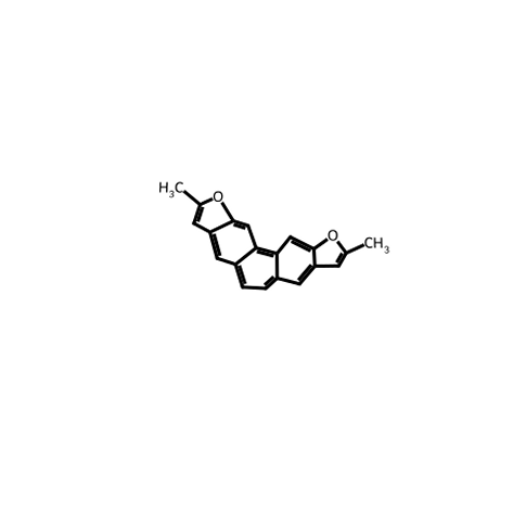 Cc1cc2cc3ccc4cc5cc(C)oc5cc4c3cc2o1